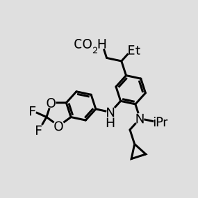 CCC(CC(=O)O)c1ccc(N(CC2CC2)C(C)C)c(Nc2ccc3c(c2)OC(F)(F)O3)c1